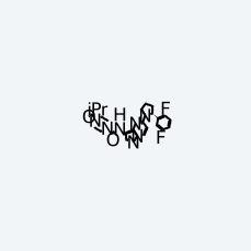 CC(C)ON1CCN(C(=O)Nc2cnn3ccc(N4CCC[C@@H]4c4cc(F)ccc4F)nc23)CC1